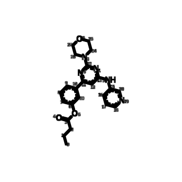 CCCC(=O)Oc1cccc(-c2cc(Nc3cccnc3)nc(N3CCOCC3)n2)c1